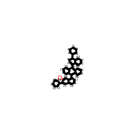 c1ccc(-c2ccc(-c3c4ccccc4c(-c4cccc5cc6c(cc45)oc4ccccc46)c4ccccc34)c3ccccc23)cc1